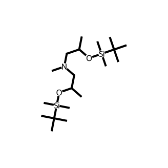 CC(CN(C)CC(C)O[Si](C)(C)C(C)(C)C)O[Si](C)(C)C(C)(C)C